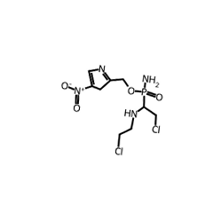 NP(=O)(OCC1=NC=C([N+](=O)[O-])C1)C(CCl)NCCCl